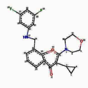 O=c1c(C2CC2)c(N2CCOCC2)oc2c(CNc3cc(F)cc(F)c3)cccc12